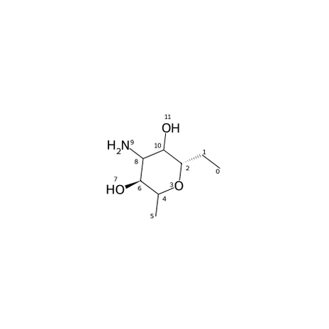 CC[C@@H]1OC(C)[C@@H](O)C(N)C1O